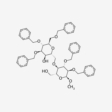 CO[C@H]1O[C@H](CO)[C@@H](OC[C@H]2O[C@H](COCc3ccccc3)[C@@H](OCc3ccccc3)[C@H](OCc3ccccc3)[C@@H]2O)[C@H](OCc2ccccc2)[C@H]1OCc1ccccc1